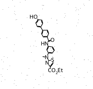 CCOC(=O)c1csc(N(C)c2cccc(NC(=O)c3ccc(-c4ccc(O)cc4)cc3)c2)n1